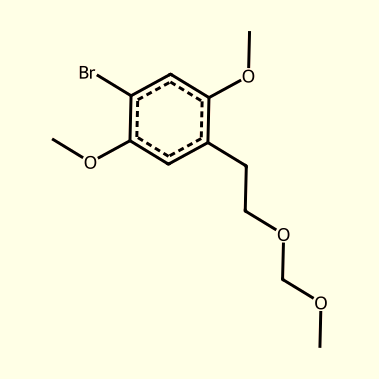 COCOCCc1cc(OC)c(Br)cc1OC